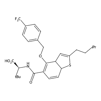 CC(C)CCC1=CC2C(OCc3ccc(C(F)(F)F)cc3)=C(C(=O)N[C@H](C(=O)O)C(C)(C)C)C=CC2S1